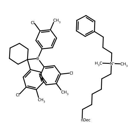 CCCCCCCCCCCCCCCC[N+](C)(C)CCCc1ccccc1.Cc1ccc(B(c2ccc(C)c(Cl)c2)C2(c3ccc(C)c(Cl)c3)CCCCC2)cc1Cl